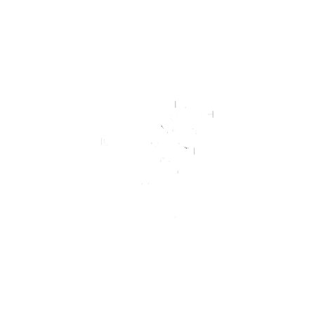 CC1(C)O[C@H]2O[C@](CCCO)(COCc3ccccc3)[C@@H](OCc3ccccc3)[C@H]2O1